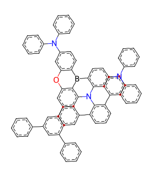 c1ccc(-c2cc(-c3ccccc3)cc(-c3cc4c5c(c3)N(c3c(-c6ccccc6)cccc3-c3ccccc3)c3cc(N(c6ccccc6)c6ccccc6)ccc3B5c3ccc(N(c5ccccc5)c5ccccc5)cc3O4)c2)cc1